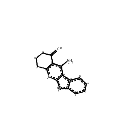 Nc1c2c(nc3[nH]c4ccccc4c13)CCCC2=O